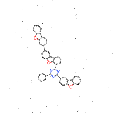 c1ccc(-c2nc(-c3ccc4oc5ccccc5c4c3)nc(-c3cccc4c3oc3ccc(-c5ccc6c(c5)oc5ccccc56)cc34)n2)cc1